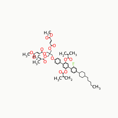 C=C(C)C(=O)OCC(COC(=O)/C=C/C(=O)OC)(COC(=O)/C=C/C(=O)OC)COc1ccc(-c2cc(OC(=O)C(=C)C)c(-c3ccc(C4CCC(CCCCC)CC4)cc3F)cc2OC(=O)C(=C)C)cc1